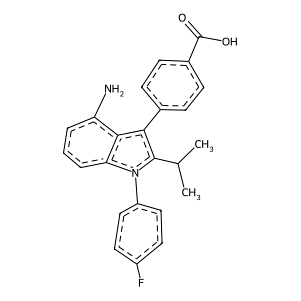 CC(C)c1c(-c2ccc(C(=O)O)cc2)c2c(N)cccc2n1-c1ccc(F)cc1